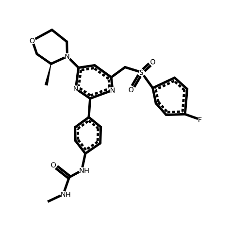 CNC(=O)Nc1ccc(-c2nc(CS(=O)(=O)c3ccc(F)cc3)cc(N3CCOC[C@@H]3C)n2)cc1